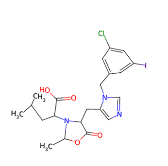 CC(C)CC(C(=O)O)N1C(C)OC(=O)C1Cc1cncn1Cc1cc(Cl)cc(I)c1